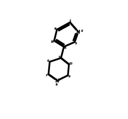 c1cncc(C2CC[N]CC2)c1